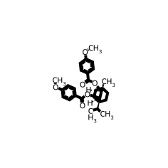 COc1ccc(C(=O)O[C@@H]2[C@H](OC(=O)c3ccc(OC)cc3)[C@]3(C(C)C)CC[C@@]2(C)CC3)cc1